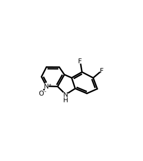 [O-][n+]1cccc2c3c(F)c(F)ccc3[nH]c21